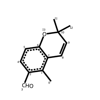 Cc1c(C=O)ccc2c1C=CC(C)(C)O2